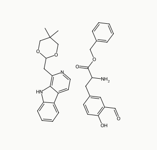 CC1(C)COC(Cc2nccc3c2[nH]c2ccccc23)OC1.NC(Cc1ccc(O)c(C=O)c1)C(=O)OCc1ccccc1